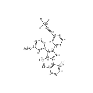 CSc1nccc(-c2c(-c3cccc(C#C[Si](C)(C)C)c3)nc(-c3c(Cl)cccc3Cl)n2O)n1